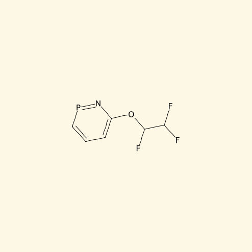 FC(F)C(F)Oc1cccpn1